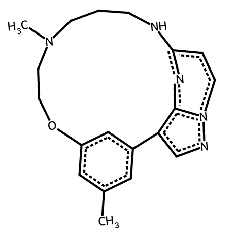 Cc1cc2cc(c1)-c1cnn3ccc(nc13)NCCCN(C)CCO2